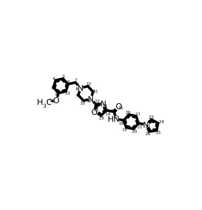 COc1cccc(CN2CCN(c3nc(C(=O)Nc4ccc(-n5cccc5)cc4)co3)CC2)c1